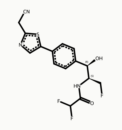 N#CCc1ncc(-c2ccc([C@@H](O)[C@@H](CF)NC(=O)C(F)F)cc2)s1